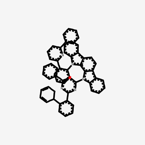 C1=CCC(c2ccccc2-c2nc(-c3ccccc3)nc(-n3c4ccccc4c4ccc5c6ccccc6n(-c6ccccc6-c6cccc(-c7ccccc7)n6)c5c43)n2)C=C1